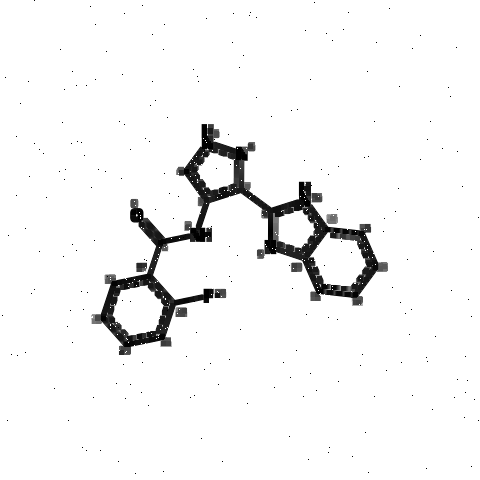 O=C(Nc1c[nH]nc1-c1nc2ccccc2[nH]1)c1ccccc1F